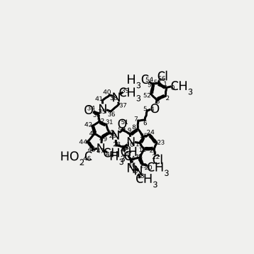 Cc1cc(OCCCc2c3n(c4c(-c5c(C)nn(C)c5C)c(Cl)ccc24)C(C)CN(c2cc(C(=O)N4CCN(C)CC4)cc4cc(C(=O)O)n(C)c24)C3=O)cc(C)c1Cl